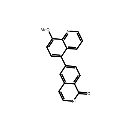 COc1ccc(-c2ccc3c(=O)[nH]ccc3c2)c2cccnc12